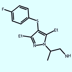 CCc1nn(C(C)CN)c(CC)c1Sc1ccc(F)cc1